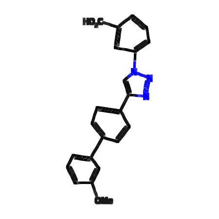 COc1cccc(-c2ccc(-c3cn(-c4cccc(C(=O)O)c4)nn3)cc2)c1